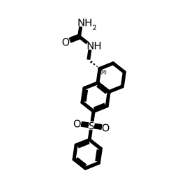 NC(=O)NC[C@@H]1CCCc2cc(S(=O)(=O)c3ccccc3)ccc21